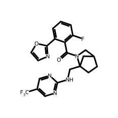 O=C(c1c(F)cccc1-c1ncco1)N1CC2CCC1(CNc1ncc(C(F)(F)F)cn1)C2